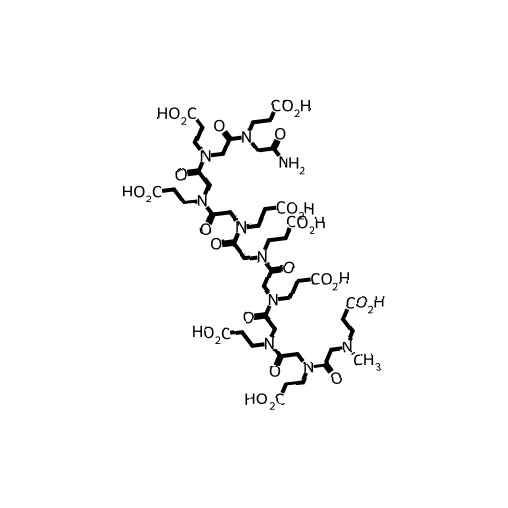 CN(CCC(=O)O)CC(=O)N(CCC(=O)O)CC(=O)N(CCC(=O)O)CC(=O)N(CCC(=O)O)CC(=O)N(CCC(=O)O)CC(=O)N(CCC(=O)O)CC(=O)N(CCC(=O)O)CC(=O)N(CCC(=O)O)CC(=O)N(CCC(=O)O)CC(N)=O